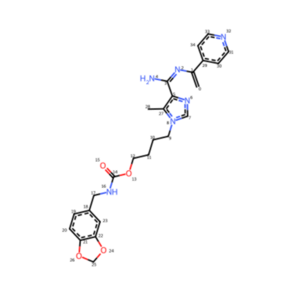 C=C(/N=C(/N)c1ncn(CCCCOC(=O)NCc2ccc3c(c2)OCO3)c1C)c1ccncc1